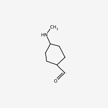 CNC1CCC([C]=O)CC1